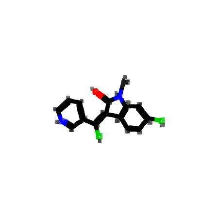 CC(=O)N1C(=O)C(=C(Cl)c2cccnc2)c2ccc(Cl)cc21